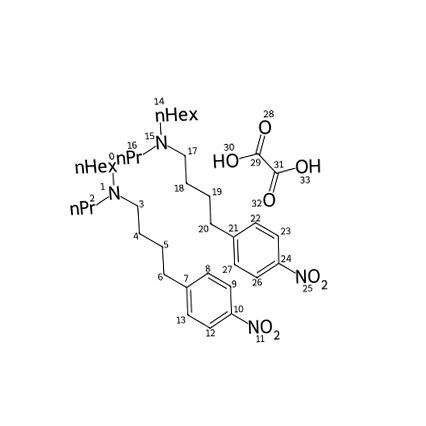 CCCCCCN(CCC)CCCCc1ccc([N+](=O)[O-])cc1.CCCCCCN(CCC)CCCCc1ccc([N+](=O)[O-])cc1.O=C(O)C(=O)O